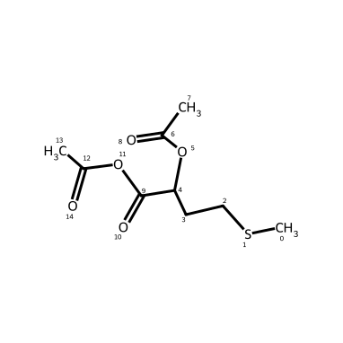 CSCCC(OC(C)=O)C(=O)OC(C)=O